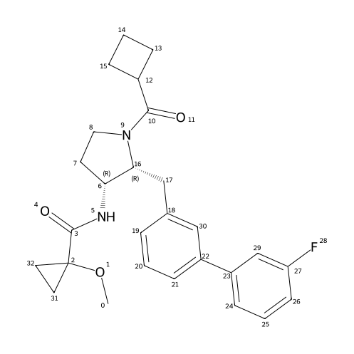 COC1(C(=O)N[C@@H]2CCN(C(=O)C3CCC3)[C@@H]2Cc2cccc(-c3cccc(F)c3)c2)CC1